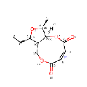 CC[C@H]1O[C@@H](C)[C@H]2OC(=O)/C=C\C(=O)OCC12